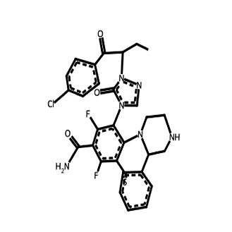 CCC(C(=O)c1ccc(Cl)cc1)n1ncn(-c2c(F)c(C(N)=O)c(F)c(C=S)c2N2CCNCC2c2ccccc2)c1=O